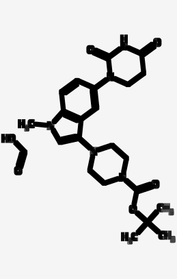 Cn1cc(N2CCN(C(=O)OC(C)(C)C)CC2)c2cc(N3CCC(=O)NC3=O)ccc21.O=CO